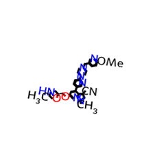 COc1ccc(CN2CCN(c3ccc(C4=CC(OC[C@@H]5CN[C@H](C)CO5)=CN5C4=C(C#N)CN5C)cn3)CC2)cn1